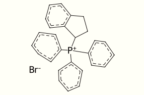 [Br-].c1ccc([P+](c2ccccc2)(c2ccccc2)C2CCc3ccccc32)cc1